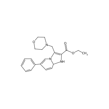 CCOC(=O)C1=C(CN2CCOCC2)N2C=C(c3ccccc3)C=CC2N1